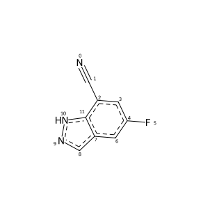 N#Cc1cc(F)cc2cn[nH]c12